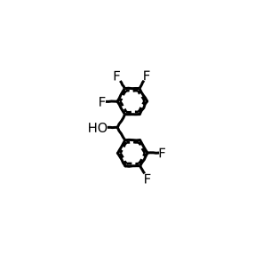 OC(c1ccc(F)c(F)c1)c1ccc(F)c(F)c1F